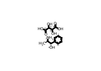 C[C@@H](N)[C@@H](O)c1ccccc1.O=C(O)C(O)C(O)C(=O)O